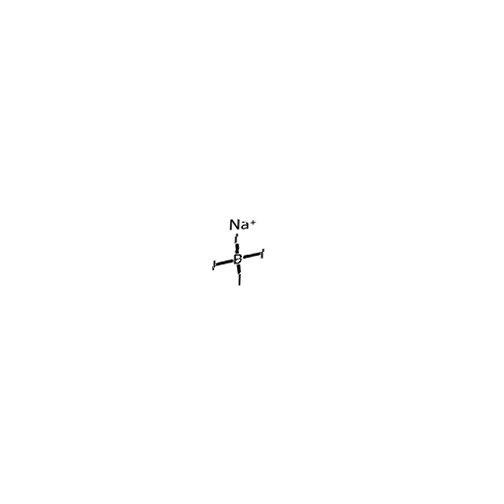 I[B-](I)(I)I.[Na+]